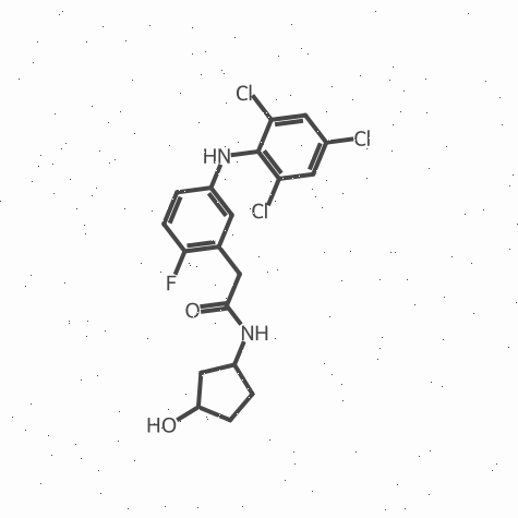 O=C(Cc1cc(Nc2c(Cl)cc(Cl)cc2Cl)ccc1F)NC1CCC(O)C1